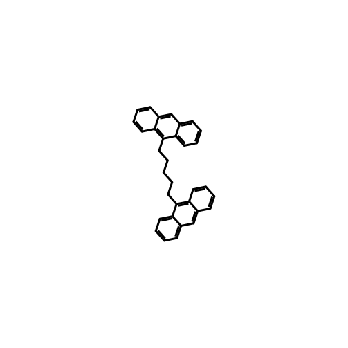 c1ccc2c(CCCCCc3c4ccccc4cc4ccccc34)c3ccccc3cc2c1